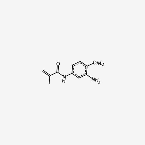 C=C(C)C(=O)Nc1ccc(OC)c(N)c1